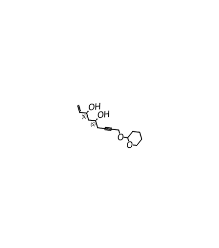 C=C[C@@H](O)C[C@@H](O)CC#CCOC1CCCCO1